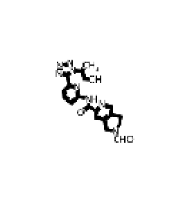 CC(CO)n1nnnc1-c1cccc(NC(=O)c2cc3c(cn2)CCN(C=O)C3)n1